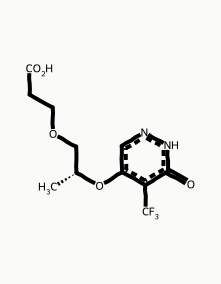 C[C@H](COCCC(=O)O)Oc1cn[nH]c(=O)c1C(F)(F)F